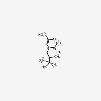 CC(=CC(CC(C)C(C)(C)[N+](=O)[O-])C(C)[N+](=O)[O-])C(=O)O